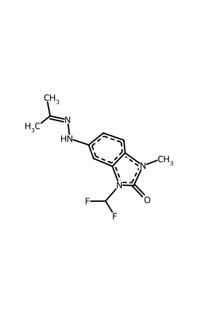 CC(C)=NNc1ccc2c(c1)n(C(F)F)c(=O)n2C